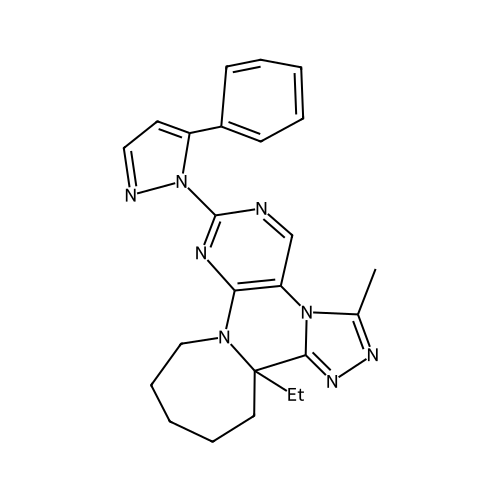 CCC12CCCCCN1c1nc(-n3nccc3-c3ccccc3)ncc1-n1c(C)nnc12